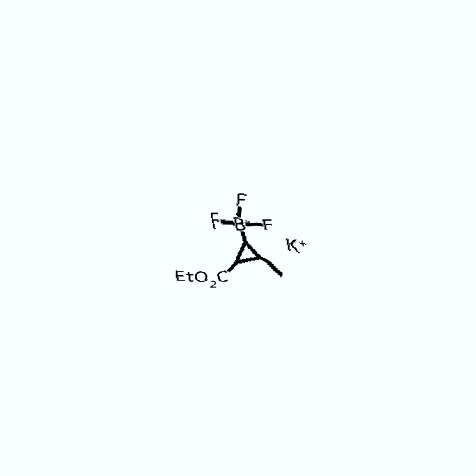 CCOC(=O)C1C(C)C1[B-](F)(F)F.[K+]